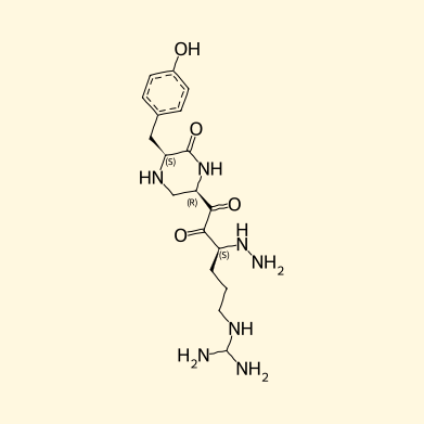 NN[C@@H](CCCNC(N)N)C(=O)C(=O)[C@H]1CN[C@@H](Cc2ccc(O)cc2)C(=O)N1